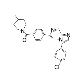 CC1CCN(C(=O)c2ccc(-c3cn4c(-c5ccc(Cl)cc5)cnc4cn3)cc2)CC1